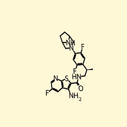 C[C@@H](CNC(=O)c1sc2ncc(F)cc2c1N)c1cc(F)c(N2CC3CCC(C2)N3)cc1F